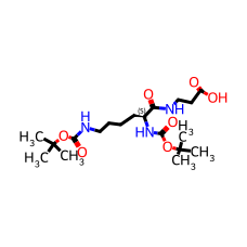 CC(C)(C)OC(=O)NCCCC[C@H](NC(=O)OC(C)(C)C)C(=O)NCCC(=O)O